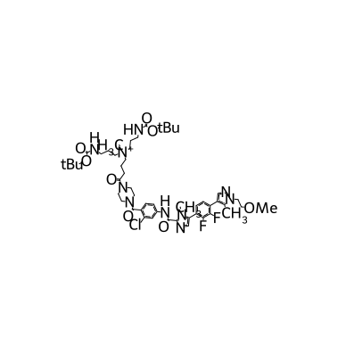 COCCn1ncc(-c2ccc(-c3cnc(C(=O)Nc4ccc(C(=O)N5CCN(C(=O)CCC[N+](C)(CCCNC(=O)OC(C)(C)C)CCCNC(=O)OC(C)(C)C)CC5)c(Cl)c4)n3C)c(F)c2F)c1C